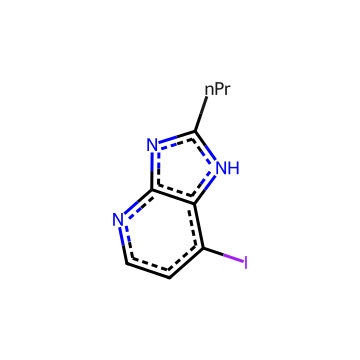 CCCc1nc2nccc(I)c2[nH]1